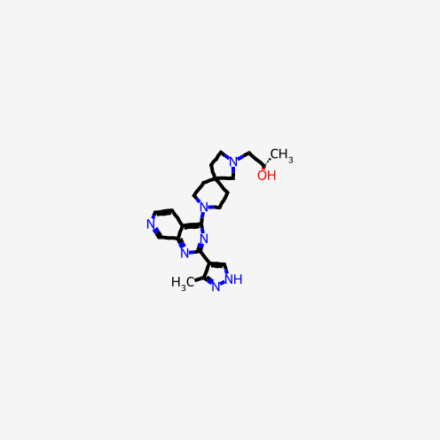 Cc1n[nH]cc1-c1nc(N2CCC3(CCN(C[C@H](C)O)C3)CC2)c2ccncc2n1